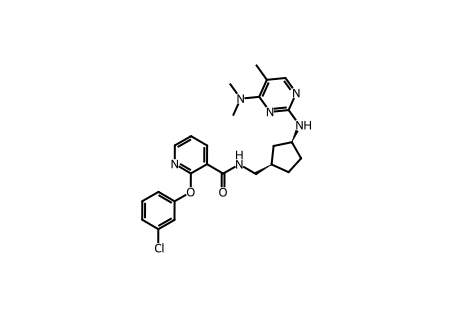 Cc1cnc(N[C@H]2CC[C@@H](CNC(=O)c3cccnc3Oc3cccc(Cl)c3)C2)nc1N(C)C